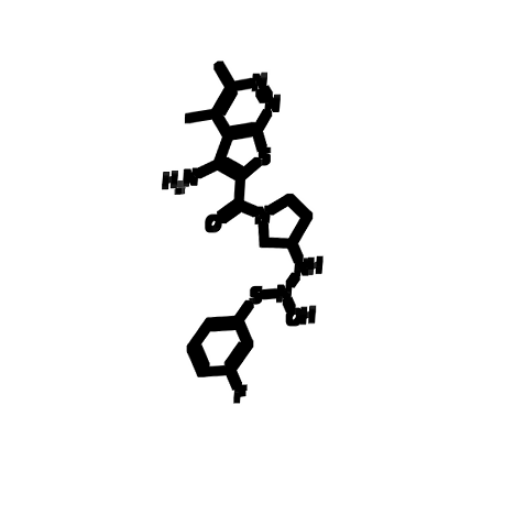 Cc1nnc2sc(C(=O)N3CCC(NN(O)Sc4cccc(F)c4)C3)c(N)c2c1C